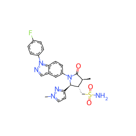 C[C@@H]1C(=O)N(c2ccc3c(cnn3-c3ccc(F)cc3)c2)[C@H](c2ccn(C)n2)[C@H]1CS(N)(=O)=O